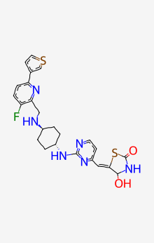 O=C1NC(O)/C(=C/c2ccnc(N[C@H]3CC[C@H](NCc4nc(-c5ccsc5)ccc4F)CC3)n2)S1